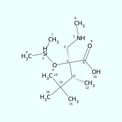 CNC[C@](O[SiH](C)C)(C(=O)O)[C@H](C)C(C)(C)C